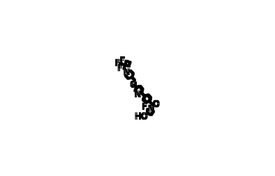 O=C(c1ccc(-c2ccc(OCC3CCN(CC4(C(F)(F)F)CCC4)CC3)cn2)cc1F)N1CC[C@@H](O)C1